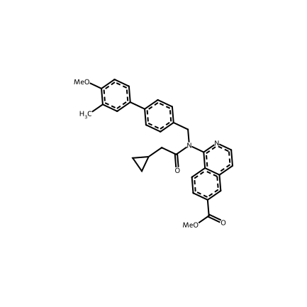 COC(=O)c1ccc2c(N(Cc3ccc(-c4ccc(OC)c(C)c4)cc3)C(=O)CC3CC3)nccc2c1